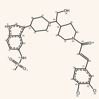 CS(=O)(=O)Nc1ccc2[nH]cc(C3CCN(C(CO)C4CCN(C(=O)C=Cc5ccc(Cl)c(Cl)c5)CC4)CC3)c2c1